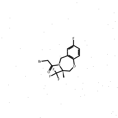 C[C@]1(C(F)(F)F)COc2ccc(F)cc2CN1C(=O)CBr